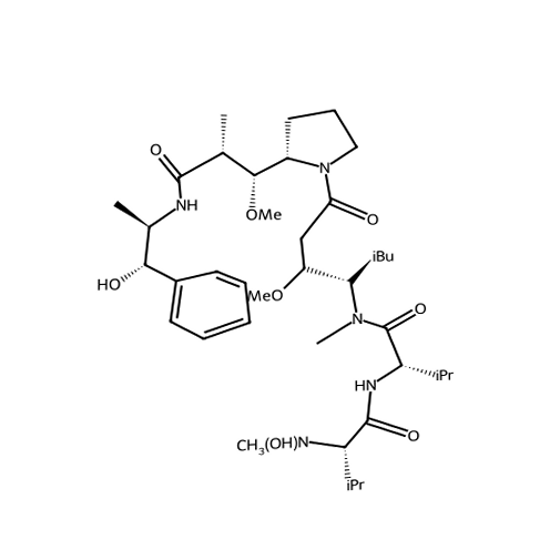 CC[C@H](C)[C@@H](C(CC(=O)N1CCC[C@H]1[C@H](OC)[C@@H](C)C(=O)N[C@H](C)[C@@H](O)c1ccccc1)OC)N(C)C(=O)[C@@H](NC(=O)[C@H](C(C)C)N(C)O)C(C)C